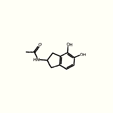 CC(=O)NC1Cc2ccc(O)c(O)c2C1